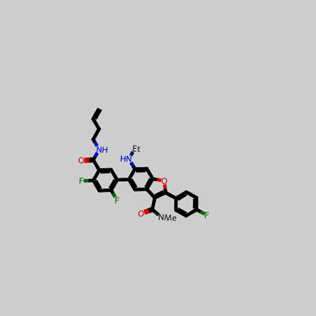 C=CCCNC(=O)c1cc(-c2cc3c(C(=O)NC)c(-c4ccc(F)cc4)oc3cc2NCC)c(F)cc1F